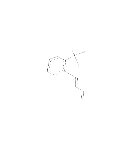 O=CC=Cc1ccccc1C(F)(F)F